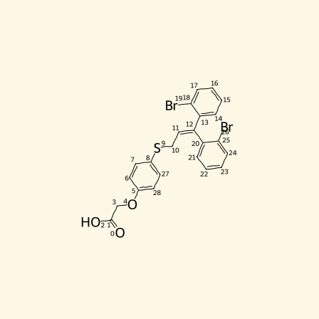 O=C(O)COc1ccc(SCC=C(c2ccccc2Br)c2ccccc2Br)cc1